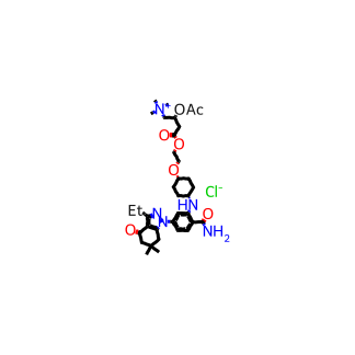 CCc1nn(-c2ccc(C(N)=O)c(N[C@H]3CC[C@H](OCCOC(=O)CC(C[N+](C)(C)C)OC(C)=O)CC3)c2)c2c1C(=O)CC(C)(C)C2.[Cl-]